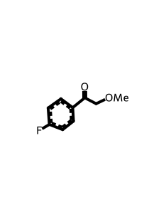 COCC(=O)c1ccc(F)cc1